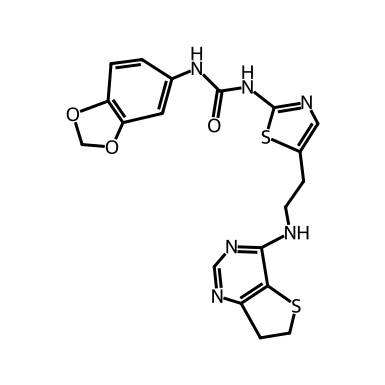 O=C(Nc1ccc2c(c1)OCO2)Nc1ncc(CCNc2ncnc3c2SCC3)s1